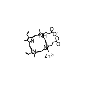 C=CC1=C(C)c2cc3c(C=C)c(C)c(cc4nc(cc5[nH]c(cc1n2)c(C)c5CCC(=O)[O-])C(CCC(=O)[O-])=C4C)n3C.[Zn+2]